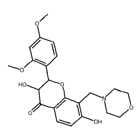 COc1ccc(C2Oc3c(ccc(O)c3CN3CCOCC3)C(=O)C2O)c(OC)c1